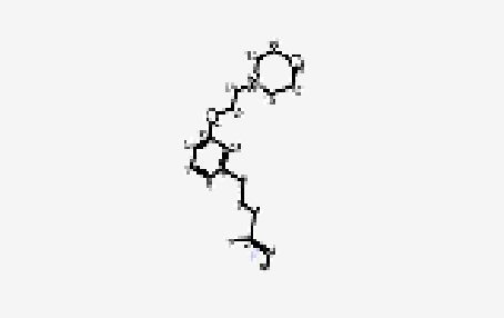 C/C=C(\C)CCCc1cccc(OCCN2CCOCC2)c1